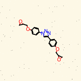 c1cc(-c2cn(-c3ccc(OCC4CO4)cc3)nn2)ccc1OCC1CO1